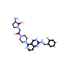 NC1CCN(CC(=O)N2CCN(c3nccc4nc(NCc5ccccc5Cl)ncc34)CC2)C1=O